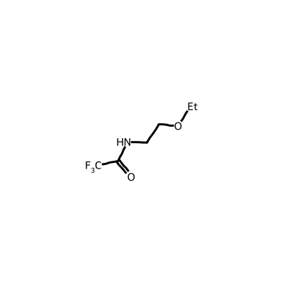 [CH2]COCCNC(=O)C(F)(F)F